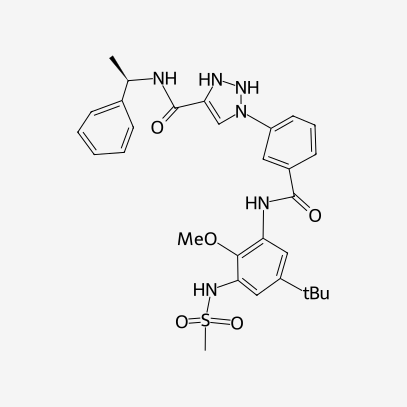 COc1c(NC(=O)c2cccc(N3C=C(C(=O)N[C@H](C)c4ccccc4)NN3)c2)cc(C(C)(C)C)cc1NS(C)(=O)=O